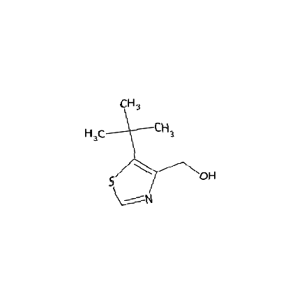 CC(C)(C)c1scnc1CO